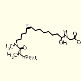 CCCCCN(C)C(=O)N(C)CCCC/C=C\CCCCCCC(O)NCC(=O)OC